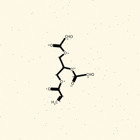 C=CC(=O)OCC(COC(=O)C=O)OC(=O)C=O